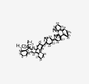 CC1(C)c2ccccc2-c2cc3c4ccccc4c4cc(-c5ccc(-c6ccc7c(n6)C6N=CC=CC6c6ccccc6-7)cn5)ccc4c3nc21